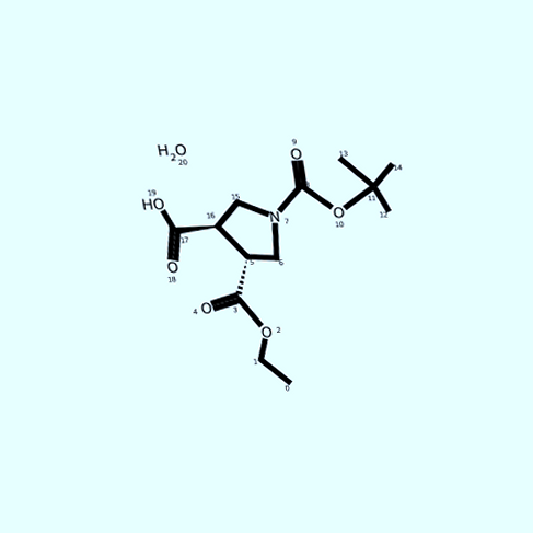 CCOC(=O)[C@H]1CN(C(=O)OC(C)(C)C)C[C@@H]1C(=O)O.O